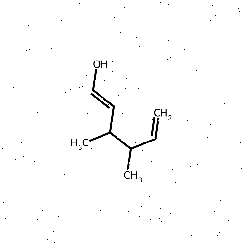 C=CC(C)C(C)C=CO